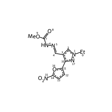 CCn1cc(C=NNC(=O)OC)c(-c2ccc([N+](=O)[O-])o2)n1